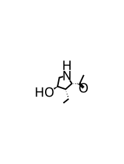 CC[C@H]1[C@@H](C(C)=O)NC[C@@H]1O